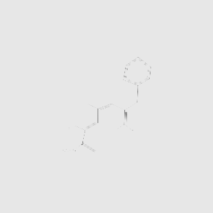 CC/C(C)=C(/C=C(\C=C(/C)C(=O)NC)C(=O)O)Cc1ccccc1